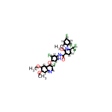 COc1cc2ncc(F)c(Oc3ccc(NC(=O)c4ccc(C(F)(F)F)n(-c5ccc(F)cc5C)c4=O)cc3F)c2cc1OC